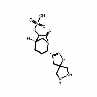 O=C1N2C[C@@H](CC[C@H]2C2=NOC3(CNNC3)C2)N1OS(=O)(=O)O